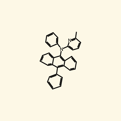 Cc1cccc(N(c2ccccc2)c2c3ccccc3c(-c3ccccc3)c3ccccc23)n1